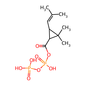 CC(C)=CC1C(C(=O)OP(=O)(O)OP(=O)(O)O)C1(C)C